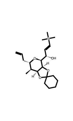 C=CC[C@@H]1O[C@@H]([C@@H](O)/C=C/[Si](C)(C)C)[C@H]2OC3(CCCCC3)O[C@H]2[C@H]1C